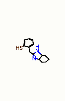 Sc1ccccc1CC1=NC2CCCCC2N1